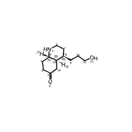 O=C1CC[C@@H]2NCC[C@@H](CCCO)[C@H]2C1